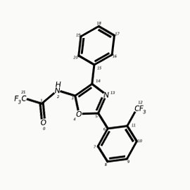 O=C(Nc1oc(-c2ccccc2C(F)(F)F)nc1-c1ccccc1)C(F)(F)F